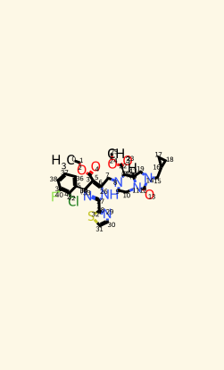 CCOC(=O)C1=C(CN2CCN3C(=O)N(CC4CC4)C[C@H]3[C@@H]2C(=O)OC)NC(c2nccs2)=N[C@H]1c1cccc(F)c1Cl